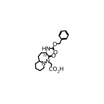 O=C(O)CN1C(=O)[C@@H](NC(=O)OCc2ccccc2)CCC2CCCCN21